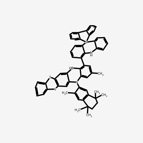 Cc1cc(-c2cccc3c2Nc2ccccc2S32c3ccccc3-c3ccccc32)c2c(c1)N(c1cc3c(cc1C)C(C)(C)CCC3(C)C)c1cc3c(cc1B2)Sc1ccccc1S3